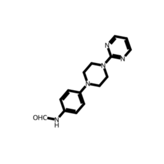 O=CNc1ccc(N2CCN(c3ncccn3)CC2)cc1